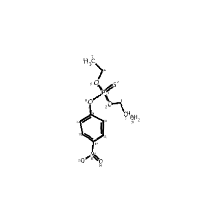 CCOP(=S)(OCC)Oc1ccc([N+](=O)[O-])cc1.O